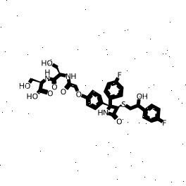 O=C(COc1ccc([C@]2(c3ccc(F)cc3)NC(=O)[C@@H]2SCC(O)c2ccc(F)cc2)cc1)N[C@H](CO)C(=O)N[C@H](CO)C(=O)O